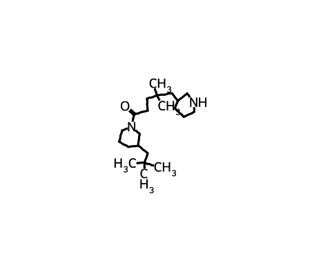 CC(C)(C)CC1CCCN(C(=O)CCC(C)(C)CC2CCCNC2)C1